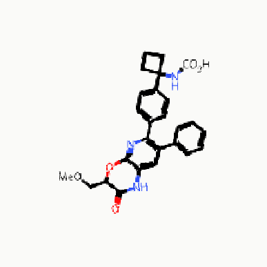 COCC1Oc2nc(-c3ccc(C4(NC(=O)O)CCC4)cc3)c(-c3ccccc3)cc2NC1=O